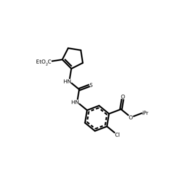 CCOC(=O)C1=C(NC(=S)Nc2ccc(Cl)c(C(=O)OC(C)C)c2)CCC1